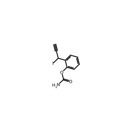 C#CC(I)c1ccccc1OC(N)=O